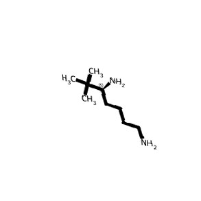 CC(C)(C)[C@@H](N)CCCCN